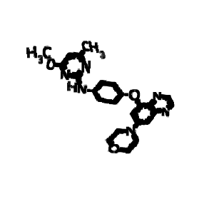 COc1cc(C)nc(N[C@H]2CC[C@@H](Oc3cc(N4CCOCC4)cc4nccnc34)CC2)n1